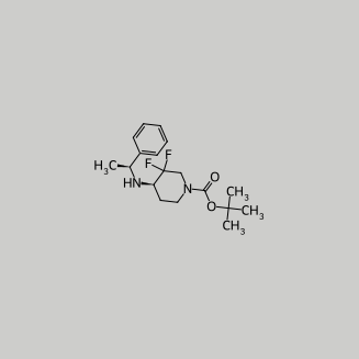 C[C@H](N[C@@H]1CCN(C(=O)OC(C)(C)C)CC1(F)F)c1ccccc1